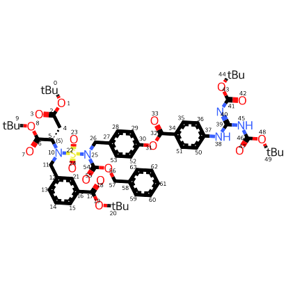 CC(C)(C)OC(=O)C[C@@H](C(=O)OC(C)(C)C)N(Cc1cccc(C(=O)OC(C)(C)C)c1)S(=O)(=O)N(Cc1ccc(OC(=O)c2ccc(NC(=NC(=O)OC(C)(C)C)NC(=O)OC(C)(C)C)cc2)cc1)C(=O)OCc1ccccc1